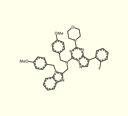 COc1ccc(CN(Cc2nc3ccccc3n2Cc2ccc(OC)cc2)c2nc(N3CCOCC3)nc3c(-c4ccccc4F)cnn23)cc1